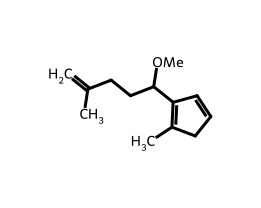 C=C(C)CCC(OC)C1=C(C)CC=C1